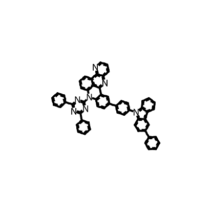 c1ccc(-c2ccc3c(c2)c2ccccc2n3-c2ccc(-c3ccc4c(c3)-c3nc5cccnc5c5cccc(c35)N4c3nc(-c4ccccc4)nc(-c4ccccc4)n3)cc2)cc1